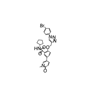 Cn1cc(-c2ccc(OCc3cn(-c4ccc(Br)cc4)nn3)c(S(=O)(=O)NC3CCCC3)c2)ccc1=O